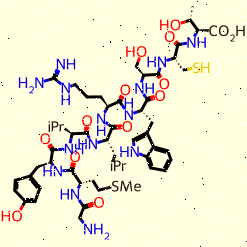 CSCC[C@H](NC(=O)CN)C(=O)N[C@@H](Cc1ccc(O)cc1)C(=O)N[C@H](C(=O)N[C@@H](CC(C)C)C(=O)N[C@@H](CCCNC(=N)N)C(=O)N[C@@H](Cc1c[nH]c2ccccc12)C(=O)N[C@@H](CO)C(=O)N[C@@H](CS)C(=O)N[C@H](C(=O)O)[C@@H](C)O)C(C)C